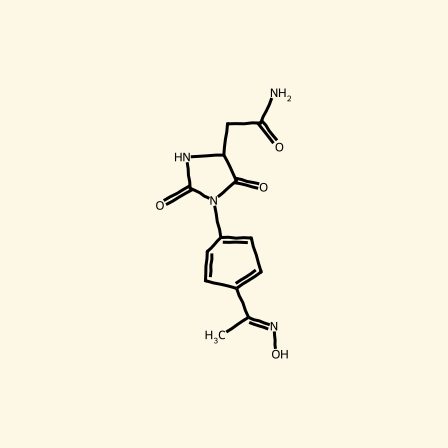 CC(=NO)c1ccc(N2C(=O)NC(CC(N)=O)C2=O)cc1